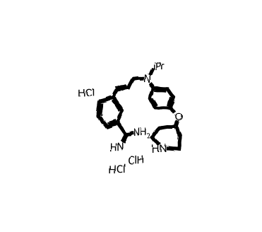 CC(C)N(CC=Cc1cccc(C(=N)N)c1)c1ccc(OC2CCNCC2)cc1.Cl.Cl.Cl